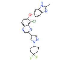 Cc1nc2ccc(Oc3ccc4ncc(-c5cnn(C6CCC(F)(F)CC6)c5)nc4c3Cl)cc2[nH]1